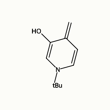 C=C1C=CN(C(C)(C)C)C=C1O